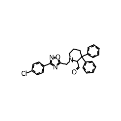 O=CC1N(Cc2nc(-c3ccc(Cl)cc3)no2)CCCC1(c1ccccc1)c1ccccc1